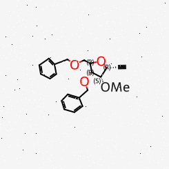 C#C[C@H]1O[C@H](COCc2ccccc2)[C@@H](OCc2ccccc2)[C@H]1OC